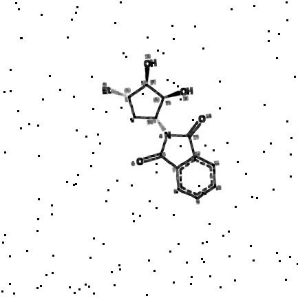 CC[C@H]1C[C@@H](N2C(=O)c3ccccc3C2=O)[C@H](O)[C@@H]1O